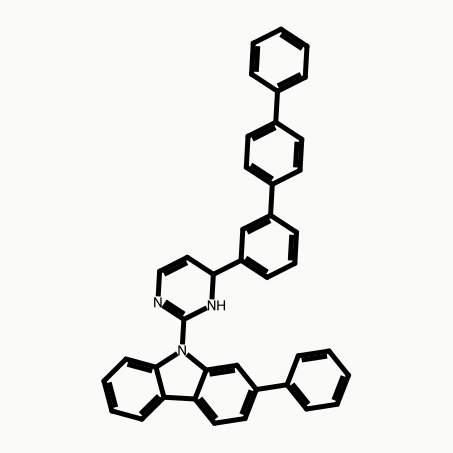 C1=CC(c2cccc(-c3ccc(-c4ccccc4)cc3)c2)NC(n2c3ccccc3c3ccc(-c4ccccc4)cc32)=N1